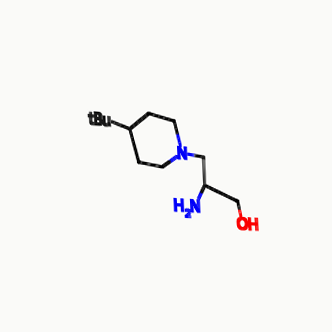 CC(C)(C)C1CCN(CC(N)CO)CC1